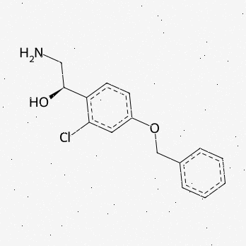 NC[C@H](O)c1ccc(OCc2ccccc2)cc1Cl